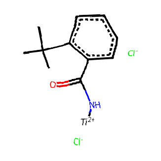 CC(C)(C)c1ccccc1C(=O)[NH][Ti+2].[Cl-].[Cl-]